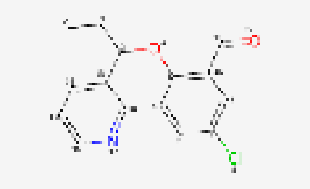 CCC(Oc1ccc(Cl)cc1C=O)c1cccnc1